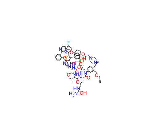 C#CCOCc1cc(NC(=O)[C@H](CCCNC(N)O)NC(=O)[C@@H](NC(=O)[C@H](CC#C)NC(=O)OC(C)(C)C)C(C)C)ccc1C[N+]1(C)CCN(CCOc2ccc(-c3c(-c4ccc(F)cc4)sc4ncnc(O[C@H](Cc5ccccc5OCc5ccnc(-c6ccccc6OC)n5)C(=O)O)c34)c(C)c2Cl)CC1